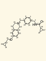 O=C(NCc1ccc(CN2CCc3cc(OCC4CC4)ccc3C2)cc1)C1CC1